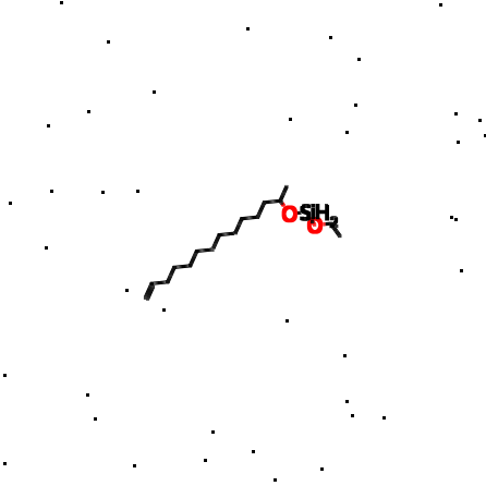 C=CCCCCCCCCCCC(C)O[SiH2]OCC